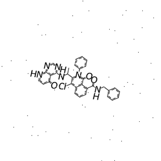 CC(Nc1ncnc2[nH]ccc(=O)c12)c1c(Cl)c2cccc(C(=O)NCc3ccccc3)c2c(=O)n1-c1ccccc1